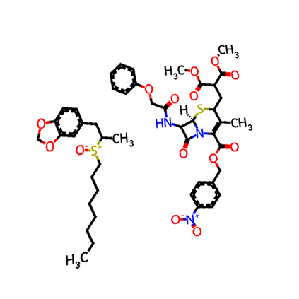 CCCCCCCC[S+]([O-])C(C)Cc1ccc2c(c1)OCO2.COC(=O)C(CC1S[C@@H]2C(NC(=O)COc3ccccc3)C(=O)N2C(C(=O)OCc2ccc([N+](=O)[O-])cc2)=C1C)C(=O)OC